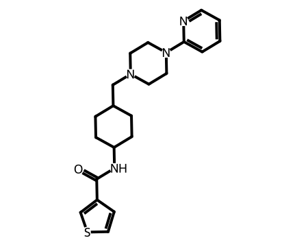 O=C(NC1CCC(CN2CCN(c3ccccn3)CC2)CC1)c1ccsc1